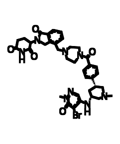 CN1C[C@H](Nc2cnn(C)c(=O)c2Br)C[C@H](c2ccc(C(=O)N3CCN(Cc4cccc5c4CN(C4CCC(=O)NC4=O)C5=O)CC3)cc2)C1